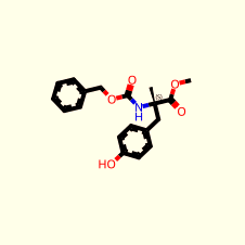 COC(=O)[C@](C)(Cc1ccc(O)cc1)NC(=O)OCc1ccccc1